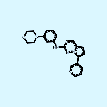 c1cncc(-c2ccc3cnc(Nc4cccc(N5CCOCC5)c4)nn23)c1